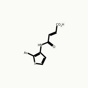 CC(=O)c1sccc1NC(=O)C=CC(=O)O